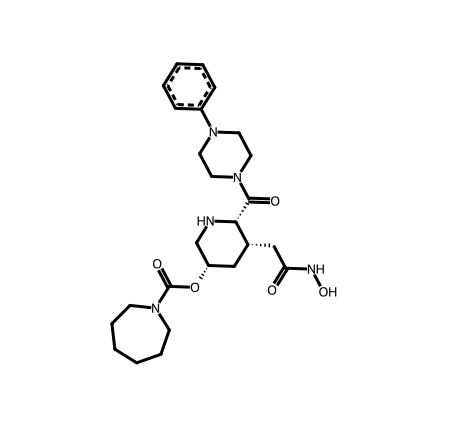 O=C(C[C@@H]1C[C@H](OC(=O)N2CCCCCC2)CN[C@@H]1C(=O)N1CCN(c2ccccc2)CC1)NO